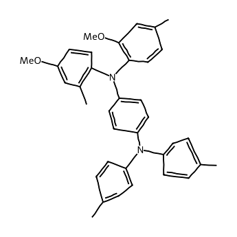 COc1ccc(N(c2ccc(N(c3ccc(C)cc3)c3ccc(C)cc3)cc2)c2ccc(C)cc2OC)c(C)c1